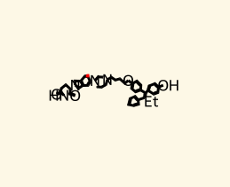 CCC(=C(c1ccc(O)cc1)c1ccc(OCCCCN2CCCN(c3ccc4c(c3)CN(C3CCC(=O)NC3=O)C4)CC2)cc1)c1ccccc1